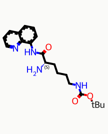 CC(C)(C)OC(=O)NCCCC[C@H](N)C(=O)Nc1cccc2cccnc12